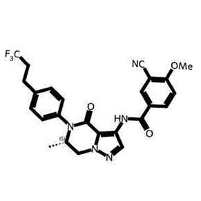 COc1ccc(C(=O)Nc2cnn3c2C(=O)N(c2ccc(CCC(F)(F)F)cc2)[C@@H](C)C3)cc1C#N